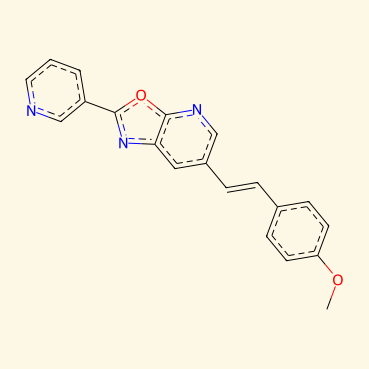 COc1ccc(/C=C/c2cnc3oc(-c4cccnc4)nc3c2)cc1